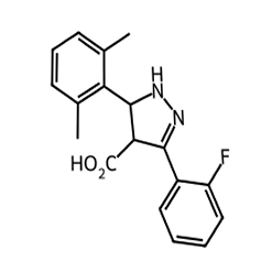 Cc1cccc(C)c1C1NN=C(c2ccccc2F)C1C(=O)O